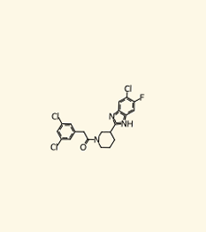 O=C(Cc1cc(Cl)cc(Cl)c1)N1CCCC(c2nc3cc(Cl)c(F)cc3[nH]2)C1